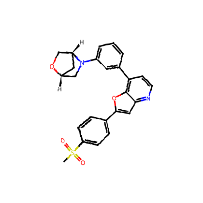 CS(=O)(=O)c1ccc(-c2cc3nccc(-c4cccc(N5C[C@H]6C[C@@H]5CO6)c4)c3o2)cc1